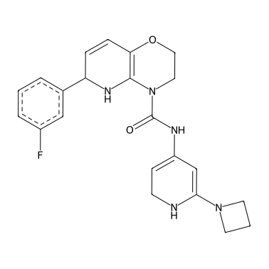 O=C(NC1=CCNC(N2CCC2)=C1)N1CCOC2=C1NC(c1cccc(F)c1)C=C2